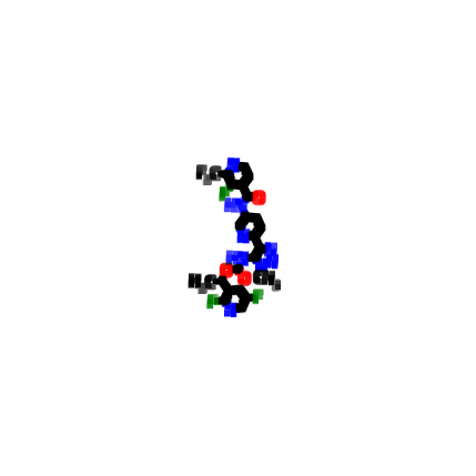 C[C@@H](OC(=O)Nc1c(-c2ccc(NC(=O)c3ccnc(C(F)(F)F)c3F)cn2)nnn1C)c1cc(F)cnc1F